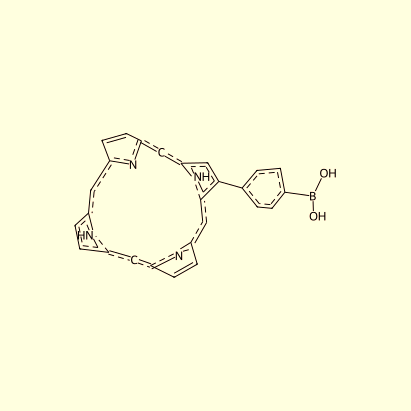 OB(O)c1ccc(-c2cc3cc4nc(cc5ccc(cc6nc(cc2[nH]3)C=C6)[nH]5)C=C4)cc1